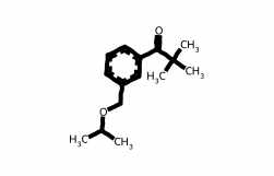 CC(C)OCc1cccc(C(=O)C(C)(C)C)c1